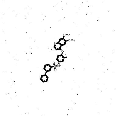 COc1cc2nccc(Oc3ccc(NS(=O)(=O)c4cccc(-c5ccccc5)c4)cc3F)c2cc1OC